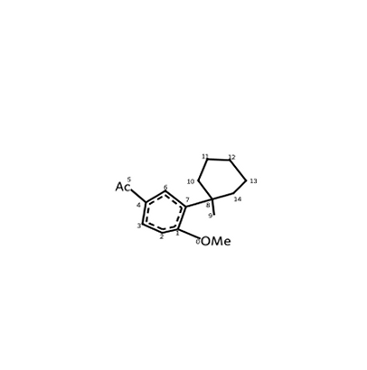 COc1ccc(C(C)=O)cc1C1(C)CCCCC1